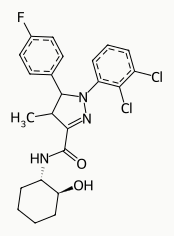 CC1C(C(=O)N[C@H]2CCCC[C@@H]2O)=NN(c2cccc(Cl)c2Cl)C1c1ccc(F)cc1